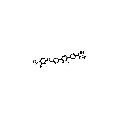 CCCC(O)c1ccc(-c2ccc(-c3ccc(COc4ccc(C5CO5)c(F)c4F)cc3)c(F)c2F)cc1